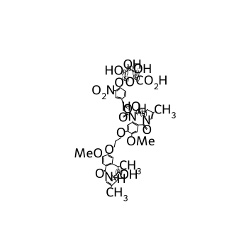 COc1cc2c(cc1OCCCOc1cc3c(cc1OC)C(=O)N1C=C(C)C[C@H]1[C@H](O)N3C(=O)OCc1ccc(O[C@@H]3O[C@H](C(=O)O)[C@@H](O)[C@H](O)[C@H]3O)c([N+](=O)[O-])c1)C(C)[C@@H](O)[C@@H]1CC(C)=CN1C2=O